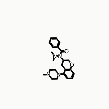 CN1CCN(c2cccc3c2CC(N(C(=O)c2ccccc2)N(C)C)CO3)CC1